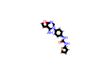 NC1=c2ccoc2=NCN1c1ccc(NC(=O)Nc2cccs2)cc1